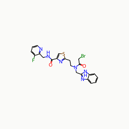 O=C(NCc1ncccc1F)c1csc(CCN(Cc2nc3ccccc3[nH]2)C(=O)CBr)n1